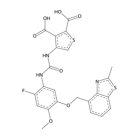 COc1cc(F)c(NC(=O)Nc2csc(C(=O)O)c2C(=O)O)cc1OCc1cccc2sc(C)nc12